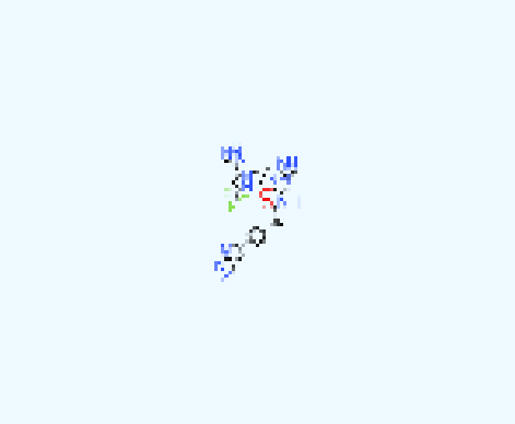 Cn1cc(C[C@@H](NC(=O)[C@H]2C[C@@H]2c2ccc(-c3cnc4nn(C)cc4c3)cc2)C(=O)NC(C)(C)Cn2nc(C(F)(F)F)cc2-c2cnn(C)n2)cn1